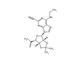 CCNc1nc(C#N)nc2c1ncn2[C@@H]1O[C@H](C(C)=O)[C@H]2OC(C)(C)O[C@H]21